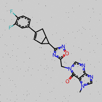 Cn1cnc2ncn(Cc3nc(C4C5C=C(c6ccc(F)c(F)c6)CC54)no3)c(=O)c21